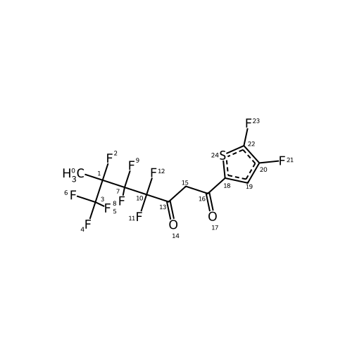 CC(F)(C(F)(F)F)C(F)(F)C(F)(F)C(=O)CC(=O)c1cc(F)c(F)s1